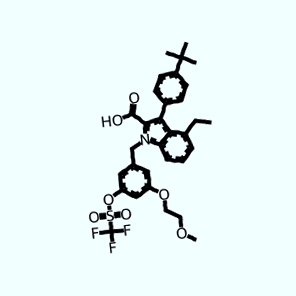 CCc1cccc2c1c(-c1ccc(C(C)(C)C)cc1)c(C(=O)O)n2Cc1cc(OCCOC)cc(OS(=O)(=O)C(F)(F)F)c1